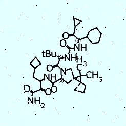 CC(C)(C)[C@H](NC(=O)N[C@H](C(=O)C1CC1)C1CCCCC1)C(=O)N1CC2(C[C@H]1C(=O)NC(CC1CCC1)C(=O)C(N)=O)C(C)(C)C21CCC1